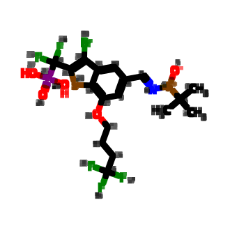 CC(C)(C)[S+]([O-])N=Cc1cc(OCCCC(F)(F)F)c2sc(C(F)(F)P(=O)(O)O)c(Br)c2c1